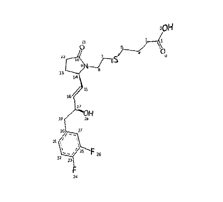 O=C(O)CCCSCCN1C(=O)CC[C@@H]1/C=C/[C@@H](O)Cc1ccc(F)c(F)c1